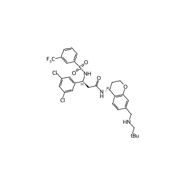 CC(C)(C)CNCc1ccc2c(c1)OCC[C@H]2NC(=O)C[C@H](NS(=O)(=O)c1cccc(C(F)(F)F)c1)c1cc(Cl)cc(Cl)c1